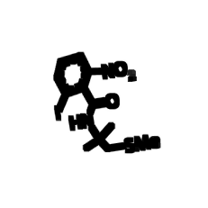 CSCC(C)(C)NC(=O)c1c(I)cccc1[N+](=O)[O-]